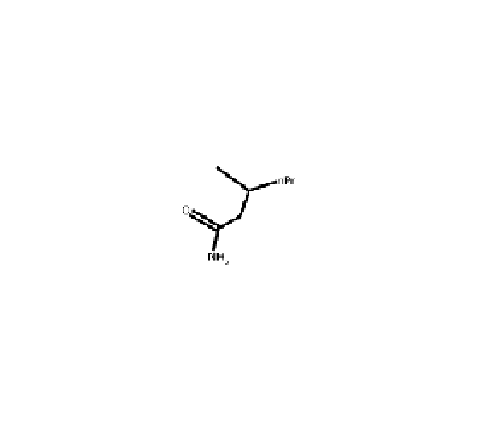 CCCC(C)CC(N)=O